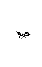 Cc1csc(-c2cn3c(n2)sc2cnccc23)c1